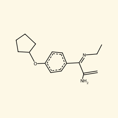 C=C(N)/C(=N\CC)c1ccc(OC2CCCC2)cc1